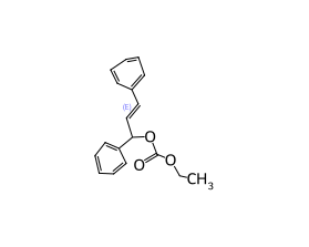 CCOC(=O)OC(/C=C/c1ccccc1)c1ccccc1